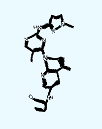 C=CC(=O)Nc1cnc2c(c1)c(C)cn2-c1nc(Nc2ccn(C)n2)ncc1C